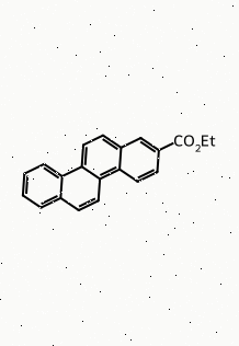 CCOC(=O)c1ccc2c(ccc3c4ccccc4ccc23)c1